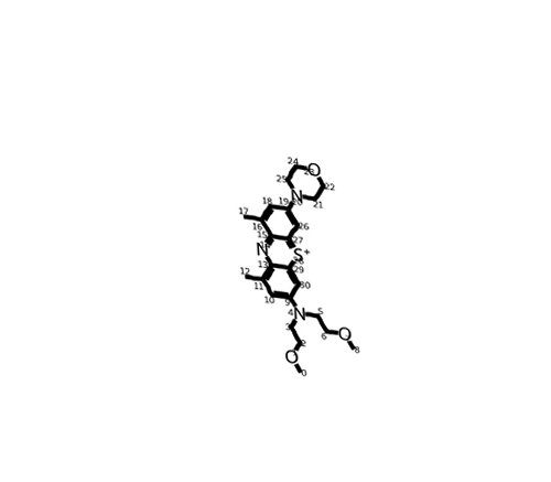 COCCN(CCOC)c1cc(C)c2nc3c(C)cc(N4CCOCC4)cc3[s+]c2c1